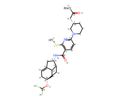 CCCSc1nc(N2CCC[C@@H](CC(=O)OC)C2)ccc1C(=O)N[C@H]1CC2=CC[C@]3(OC(F)F)CC2C1C3